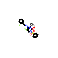 Cn1c(=O)n(S(=O)(=O)c2ccccc2)cc(F)/c1=N\Cc1ccccc1F